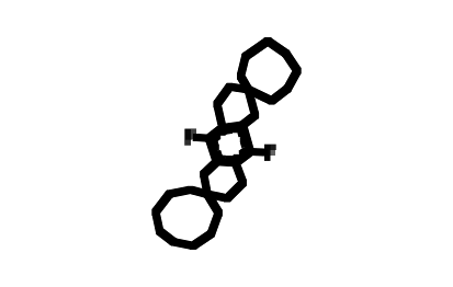 Fc1c2c(c(F)c3c1CC1(CCCCCCCC1)CC3)CC1(CCCCCCC1)CC2